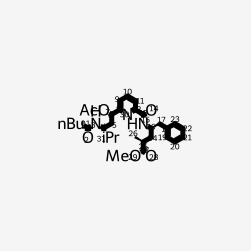 CCCCC(=O)NC(CC(OC(C)=O)c1cccc(C(=O)N[C@@H](Cc2ccccc2)C[C@H](C)C(=O)OC)n1)C(C)C